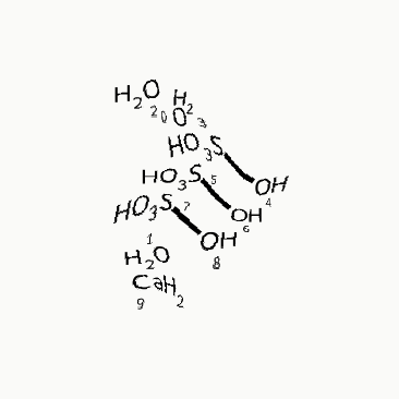 O.O.O.O=S(=O)(O)O.O=S(=O)(O)O.O=S(=O)(O)O.[CaH2]